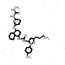 CCCCc1cc(NC(=O)Nc2ccc(Oc3ccnc(NC(=O)NC)n3)c3ccccc23)n(-c2ccc(C)cc2)n1